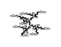 CCCCCCCCCCCCCC(=O)N(CCCN(CCCN(CCCN(C(=O)CCCCCCCCCCCCC)C(=O)CCCCCCCCCCCCC)CCCN(C(=O)CCCCCCCCCCCCC)C(=O)CCCCCCCCCCCCC)CCCN(CC(=O)CCCCCCCCCCCC)CC(=O)CCCCCCCCCCCC)C(=O)CCCCCCCCCCCCC